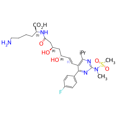 CC(C)c1nc(N(C)S(C)(=O)=O)nc(-c2ccc(F)cc2)c1/C=C/[C@H](O)C[C@@H](O)CC(=O)N[C@@H](CCCCN)C(=O)O